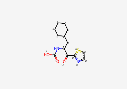 O=C(O)NC(CC1CCCCC1)C(=O)c1nccs1